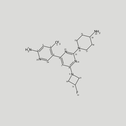 Nc1cc(C(F)(F)F)c(-c2cc(N3CC(F)C3)nc(N3CCC(N)CC3)n2)cn1